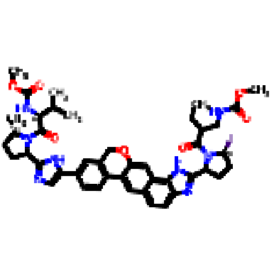 CCC(CNC(=O)OC)C(=O)N1C(c2nc3ccc4cc5c(cc4c3[nH]2)OCc2cc(-c3cnc(C4CC[C@H](C)N4C(=O)[C@@H](NC(=O)OC)C(C)C)[nH]3)ccc2-5)CC[C@@H]1I